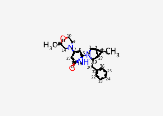 C[C@@H]1C2CN(c3cc(N4CCO[C@H](C)C4)cc(=O)[nH]3)[C@H](Cc3ccccc3)C21